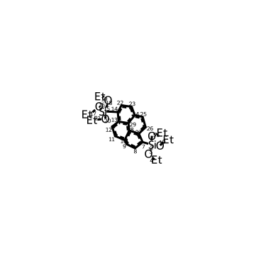 CCO[Si](OCC)(OCC)c1ccc2ccc3c([Si](OCC)(OCC)OCC)ccc4ccc1c2c43